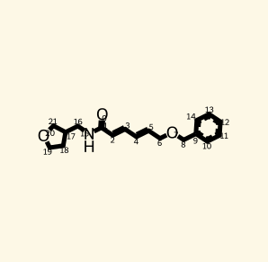 O=C(C=CC=CCOCc1ccccc1)NCC1CCOC1